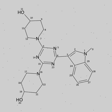 Cn1cc(-c2nc(N3CCC(O)CC3)nc(N3CCC(O)CC3)n2)c2ccccc21